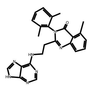 Cc1cccc(C)c1-n1c(CCNc2ncnc3[nH]cnc23)nc2cccc(C)c2c1=O